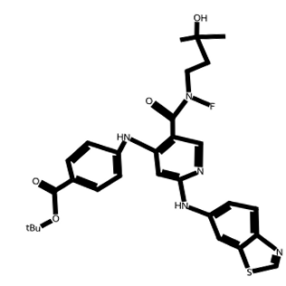 CC(C)(O)CCN(F)C(=O)c1cnc(Nc2ccc3ncsc3c2)cc1Nc1ccc(C(=O)OC(C)(C)C)cc1